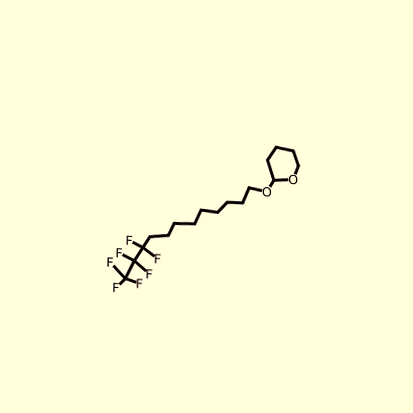 FC(F)(F)C(F)(F)C(F)(F)CCCCCCCCCOC1CCCCO1